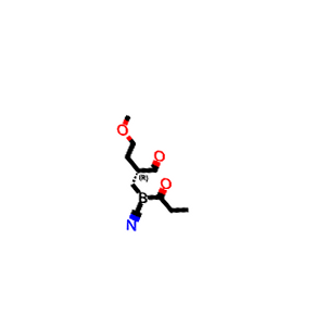 CCC(=O)B(C#N)C[C@@H](C=O)CCOC